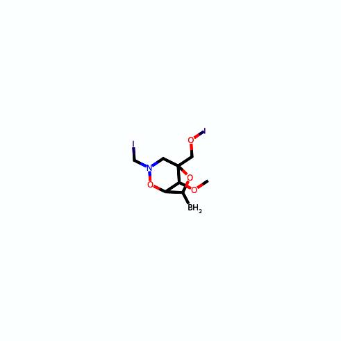 BC1OC2(COI)CN(CI)OC1C2OC